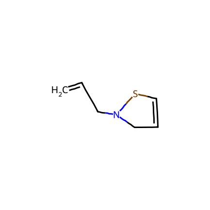 C=CCN1CC=CS1